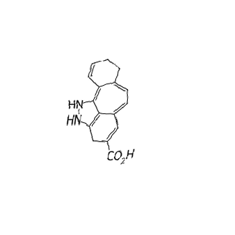 O=C(O)C1=CC2=CC=C3CCC=CC3=C3NNC(=C23)C1